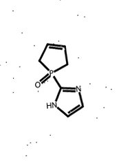 O=P1(c2ncc[nH]2)CC=CC1